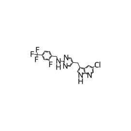 Fc1cc(C(F)(F)F)ccc1CNc1ncc(Cc2c[nH]c3ncc(Cl)cc23)cn1